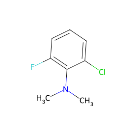 CN(C)c1c(F)cccc1Cl